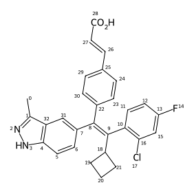 Cc1n[nH]c2ccc(/C(=C(/c3ccc(F)cc3Cl)C3CCC3)c3ccc(/C=C/C(=O)O)cc3)cc12